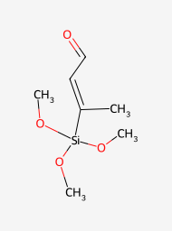 CO[Si](OC)(OC)C(C)=CC=O